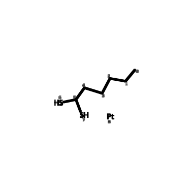 CCCCCC(S)S.[Pt]